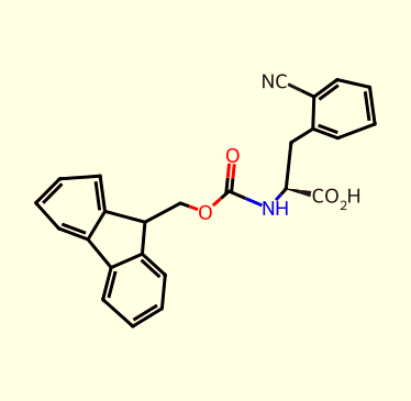 N#Cc1ccccc1C[C@H](NC(=O)OCC1c2ccccc2-c2ccccc21)C(=O)O